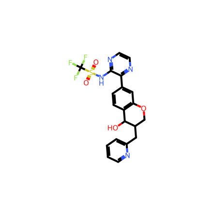 O=S(=O)(Nc1nccnc1-c1ccc2c(c1)OCC(Cc1ccccn1)C2O)C(F)(F)F